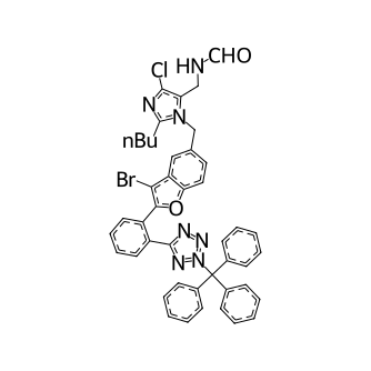 CCCCc1nc(Cl)c(CNC=O)n1Cc1ccc2oc(-c3ccccc3-c3nnn(C(c4ccccc4)(c4ccccc4)c4ccccc4)n3)c(Br)c2c1